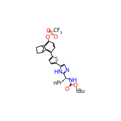 CCC[C@H](NC(=O)OC(C)(C)C)c1ncc(-c2ccc(-c3ccc(OS(=O)(=O)C(F)(F)F)c4c3C3CCC4C3)s2)[nH]1